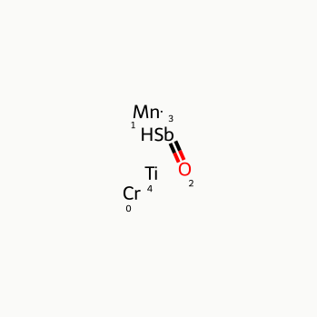 [Cr].[Mn].[O]=[SbH].[Ti]